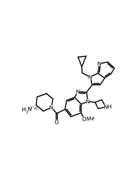 COc1cc(C(=O)N2CCC[C@@H](N)C2)cc2nc(-c3cc4cccnc4n3CC3CC3)n(C3CNC3)c12